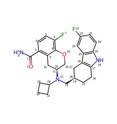 NC(=O)c1ccc(F)c2c1C[C@H](N(C[C@@H]1CCc3[nH]c4ccc(F)cc4c3C1)C1CCC1)CO2